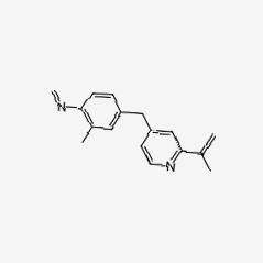 C=Nc1ccc(Cc2ccnc(C(=C)C)c2)cc1C